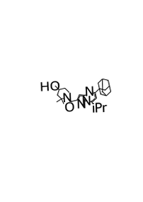 CC(C)c1cc(C23CC4CC(CC(C4)C2)C3)nc2cc(C(=O)N3CCC(O)CC3(C)C)nn12